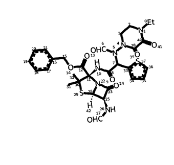 CCN1CCN(N(C=O)C(C(=O)N[C@@]2(C(=O)OCc3ccccc3)N3C(=O)[C@@H](NC=O)[C@H]3SC2(C)C)c2cccs2)C(=O)C1=O